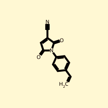 C=Cc1ccc(N2C(=O)C=C(C#N)C2=O)cc1